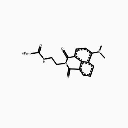 CCCCCC(=O)NCCN1C(=O)c2cccc3c(N(C)C)ccc(c23)C1=O